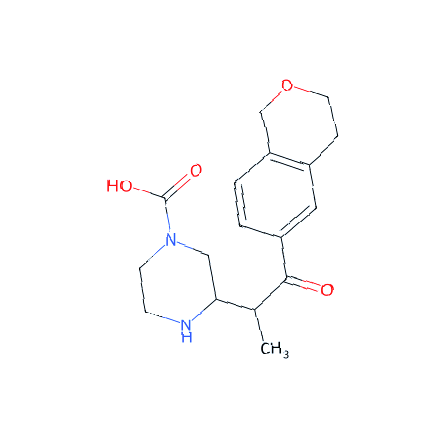 CC(C(=O)c1ccc2c(c1)CCOC2)C1CN(C(=O)O)CCN1